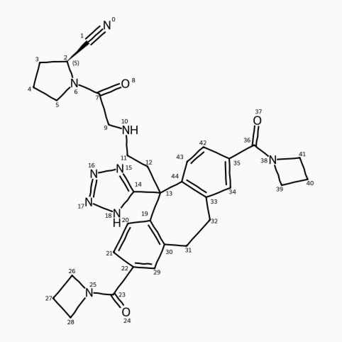 N#C[C@@H]1CCCN1C(=O)CNCCC1(c2nnn[nH]2)c2ccc(C(=O)N3CCC3)cc2CCc2cc(C(=O)N3CCC3)ccc21